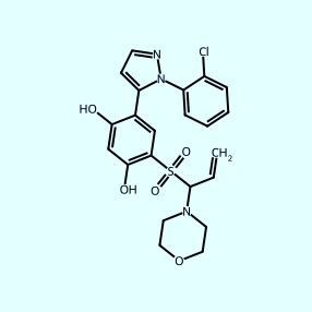 C=CC(N1CCOCC1)S(=O)(=O)c1cc(-c2ccnn2-c2ccccc2Cl)c(O)cc1O